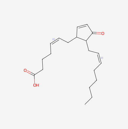 CCCCC/C=C\CC1C(=O)C=CC1C/C=C\CCCC(=O)O